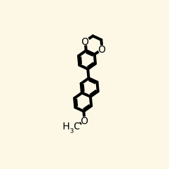 COc1ccc2cc(-c3ccc4c(c3)OCCO4)ccc2c1